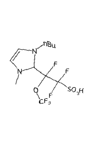 CCCCN1C=CN(C)C1C(F)(OC(F)(F)F)C(F)(F)S(=O)(=O)O